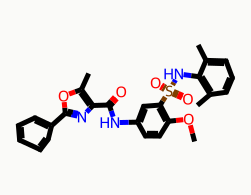 COc1ccc(NC(=O)c2nc(-c3ccccc3)oc2C)cc1S(=O)(=O)Nc1c(C)cccc1C